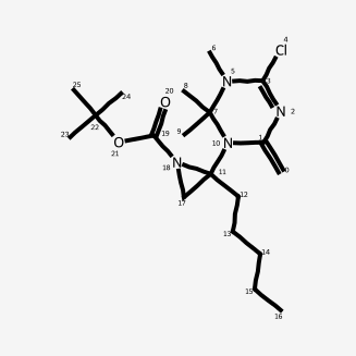 C=C1N=C(Cl)N(C)C(C)(C)N1C1(CCCCC)CN1C(=O)OC(C)(C)C